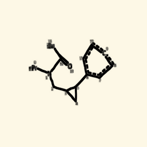 CCCN(CC1CC1c1ccccc1)C(=O)C(C)CC